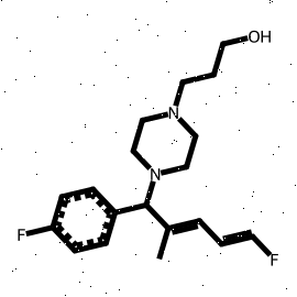 C/C(=C\C=C\F)C(c1ccc(F)cc1)N1CCN(CCCO)CC1